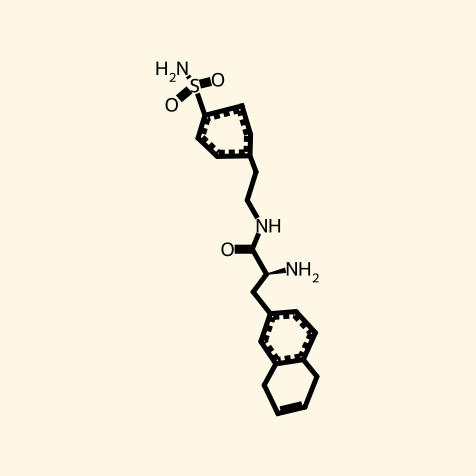 N[C@@H](Cc1ccc2c(c1)CC=CC2)C(=O)NCCc1ccc(S(N)(=O)=O)cc1